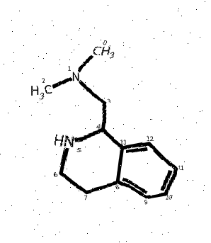 CN(C)CC1NCCc2ccccc21